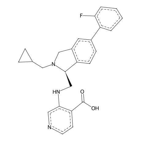 O=C(O)c1ccncc1NC[C@@H]1c2ccc(-c3ccccc3F)cc2CN1CC1CC1